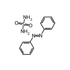 NS(N)(=O)=O.c1ccc(N=Nc2ccccc2)cc1